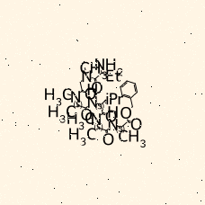 CCC(N)C(=O)N(C)CC(=O)N(C)[C@@H](C)C(=O)N[C@H](C(=O)N(C)[C@@H](C)C(=O)N[C@@H](C)C(=O)OCc1ccccc1)C(C)C